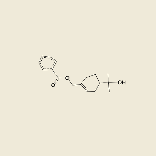 CC(C)(O)[C@@H]1CC=C(COC(=O)c2ccccc2)CC1